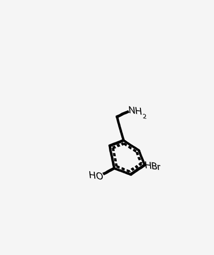 Br.NCc1cccc(O)c1